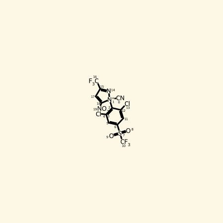 N#C[N+]1(c2c(Cl)cc(S(=O)(=O)C(F)(F)F)cc2Cl)N=C(C(F)(F)F)C=C1[N+](=O)[O-]